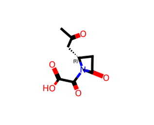 CC(=O)C[C@@H]1CC(=O)N1C(=O)C(=O)O